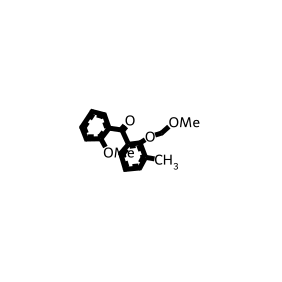 COCOc1c(C)cccc1C(=O)c1ccccc1OC